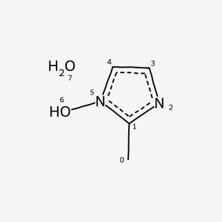 Cc1nccn1O.O